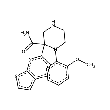 COc1ccccc1N1CCNCC1(C(N)=O)c1ncc2ccsc2n1